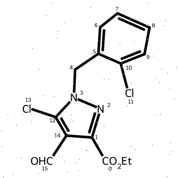 CCOC(=O)c1nn(Cc2ccccc2Cl)c(Cl)c1C=O